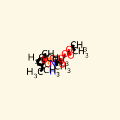 COCP(=O)(NC(C)(C)C(=O)OCOC(=O)OC(C)C)Oc1c(C(C)C)cccc1C(C)C